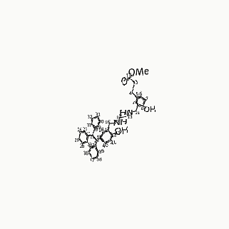 COC(=O)CCc1ccc(O)c(CNCCNCc2cc(C(=C(c3ccccc3)c3ccccc3)c3ccccc3)ccc2O)c1